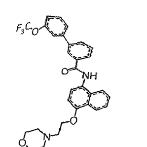 O=C(Nc1ccc(OCCN2CCOCC2)c2ccccc12)c1cccc(-c2cccc(OC(F)(F)F)c2)c1